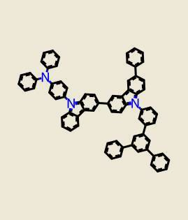 c1ccc(-c2cc(-c3ccccc3)cc(-c3cccc(-n4c5ccc(-c6ccccc6)cc5c5cc(-c6ccc7c(c6)c6ccccc6n7-c6ccc(N(c7ccccc7)c7ccccc7)cc6)ccc54)c3)c2)cc1